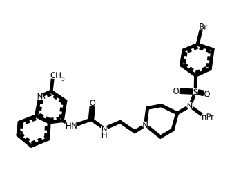 CCCN(C1CCN(CCNC(=O)Nc2cc(C)nc3ccccc23)CC1)S(=O)(=O)c1ccc(Br)cc1